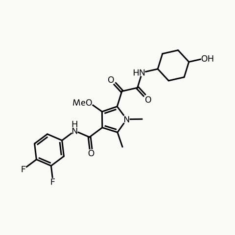 COc1c(C(=O)Nc2ccc(F)c(F)c2)c(C)n(C)c1C(=O)C(=O)NC1CCC(O)CC1